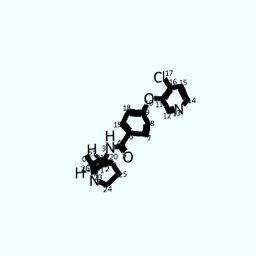 C[C@H]1[C@H](NC(=O)c2ccc(Oc3cnccc3Cl)cc2)C2CCN1CC2